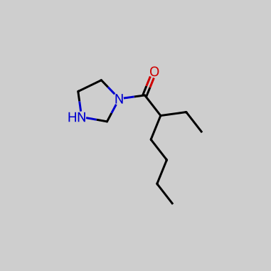 CCCCC(CC)C(=O)N1CCNC1